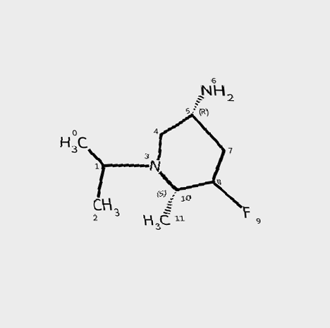 CC(C)N1C[C@H](N)CC(F)[C@@H]1C